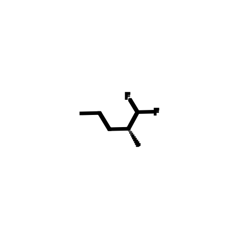 CCC[C@@H](C)C(F)F